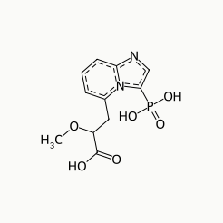 COC(Cc1cccc2ncc(P(=O)(O)O)n12)C(=O)O